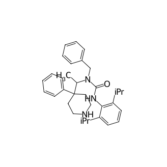 CC(C)c1cccc(C(C)C)c1NC(=O)N(Cc1ccccc1)C(C)C1(c2ccccc2)CCNCC1